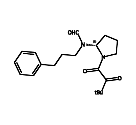 CC(C)(C)C(=O)C(=O)N1CCC[C@H]1N(C=O)CCCc1ccccc1